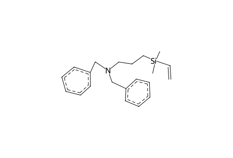 C=C[Si](C)(C)CCCN(Cc1ccccc1)Cc1ccccc1